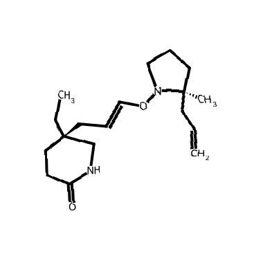 C=CC[C@]1(C)CCCN1O/C=C/C[C@]1(CC)CCC(=O)NC1